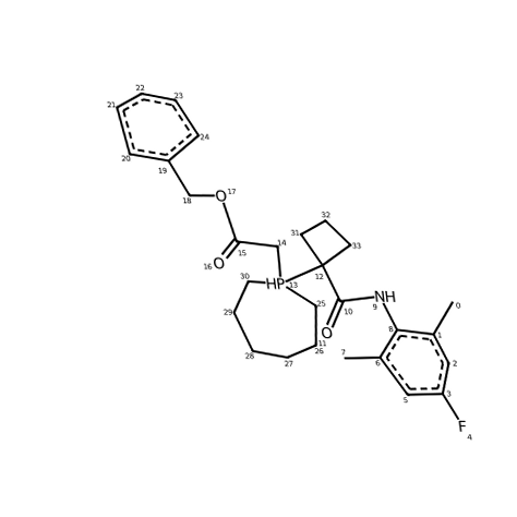 Cc1cc(F)cc(C)c1NC(=O)C1([PH]2(CC(=O)OCc3ccccc3)CCCCCC2)CCC1